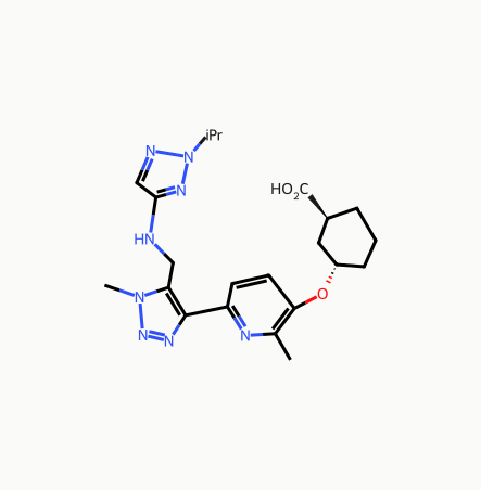 Cc1nc(-c2nnn(C)c2CNc2cnn(C(C)C)n2)ccc1O[C@H]1CCC[C@H](C(=O)O)C1